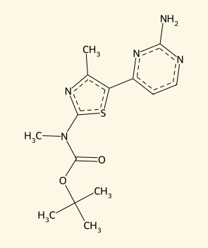 Cc1nc(N(C)C(=O)OC(C)(C)C)sc1-c1ccnc(N)n1